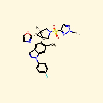 Cc1cc2c(cnn2-c2ccc(F)cc2)cc1[C@@]12CN(S(=O)(=O)c3cnn(C)n3)C[C@@H]1[C@H]2c1ncco1